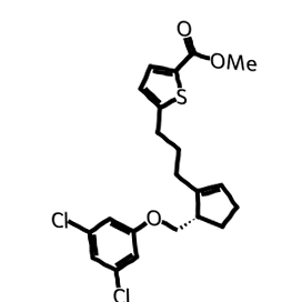 COC(=O)c1ccc(CCCC2=CCC[C@@H]2COc2cc(Cl)cc(Cl)c2)s1